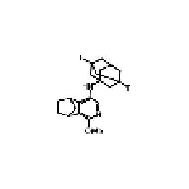 COc1ncc(NC23CC4CC(F)(CC(F)(C4)C2)C3)c2c1C1CCC2C1